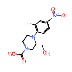 O=C(O)N1CCN(c2ccc([N+](=O)[O-])cc2F)[C@H](CO)C1